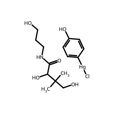 CC(C)(CO)C(O)C(=O)NCCCO.Oc1cc[c]([Hg][Cl])cc1